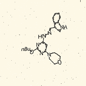 CCCCOc1nc(N/N=C/c2c[nH]c3ccccc23)cc(N2CCOCC2)n1